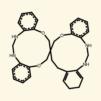 C1=C2CCC3(COc4ccccc4NCNC2=CCC1)COc1ccccc1NCNc1ccccc1OC3